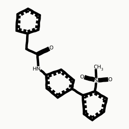 CS(=O)(=O)c1ccccc1-c1ccc(NC(=O)Cc2ccccc2)cc1